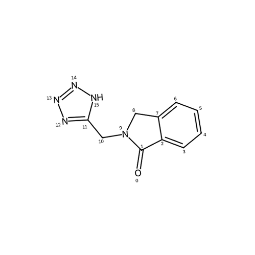 O=C1c2ccccc2CN1Cc1nnn[nH]1